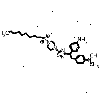 CCCCCCCCCCS(=O)(=O)N1CCN(c2nc(C(Cc3ccc(N(C)C)cc3)c3ccc(N)cc3)ns2)CC1